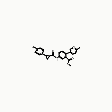 COC(=O)c1cc(NC(=O)C2CC2c2ccc(Cl)cc2)ccc1-c1ccc(C)nc1